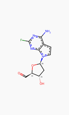 Nc1nc(F)nc2c1ccn2[C@H]1C[C@H](O)[C@@H](C=O)O1